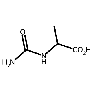 CC(NC(N)=O)C(=O)O